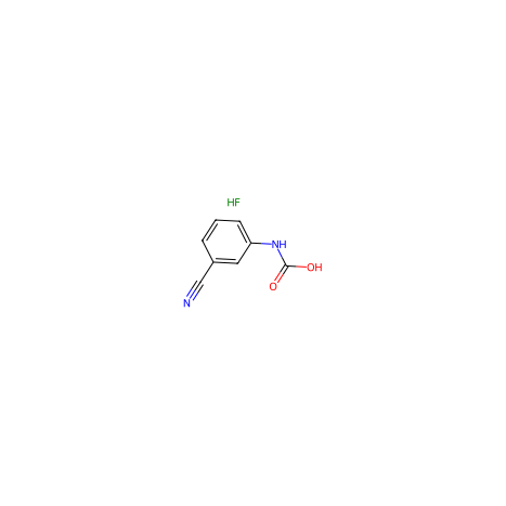 F.N#Cc1cccc(NC(=O)O)c1